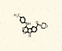 Cc1ccc(Nc2ncnc3[nH]c4ccc(C(=O)N5CCOCC5)cc4c23)cc1